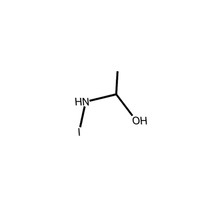 CC(O)NI